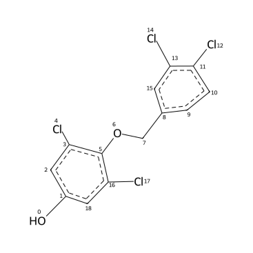 Oc1cc(Cl)c(OCc2ccc(Cl)c(Cl)c2)c(Cl)c1